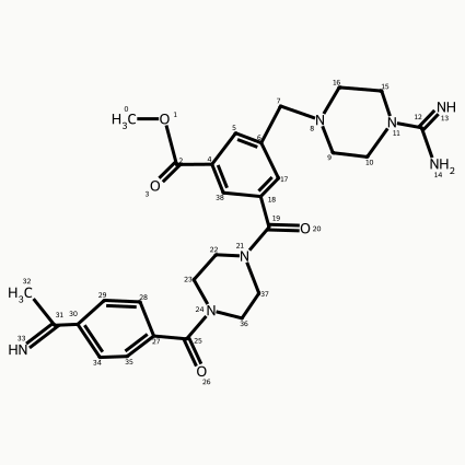 COC(=O)c1cc(CN2CCN(C(=N)N)CC2)cc(C(=O)N2CCN(C(=O)c3ccc(C(C)=N)cc3)CC2)c1